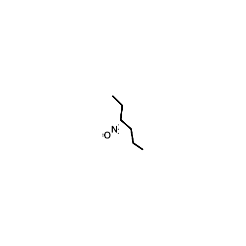 CCCCCC.[N].[O]